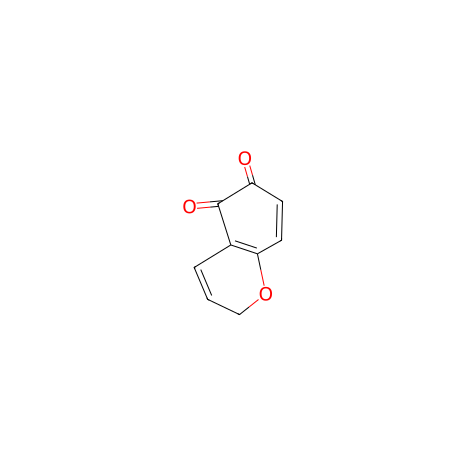 O=C1C=CC2=C(C=CCO2)C1=O